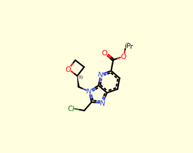 CC(C)OC(=O)c1ccc2nc(CCl)n(C[C@@H]3CCO3)c2n1